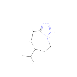 CC(C)C1CCc2nnnn2CC1